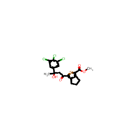 COC(=O)c1sc(C(=O)CC(C)(O)c2cc(Cl)c(Cl)c(Cl)c2)c2c1CCC2